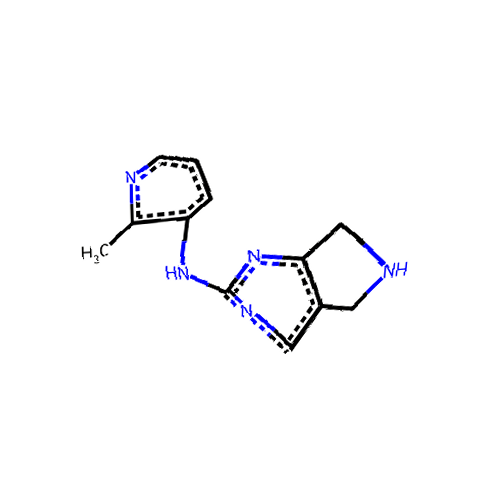 Cc1ncccc1Nc1ncc2c(n1)CNC2